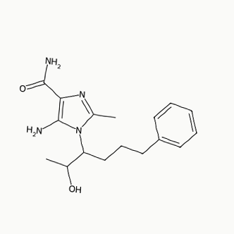 Cc1nc(C(N)=O)c(N)n1C(CCCc1ccccc1)C(C)O